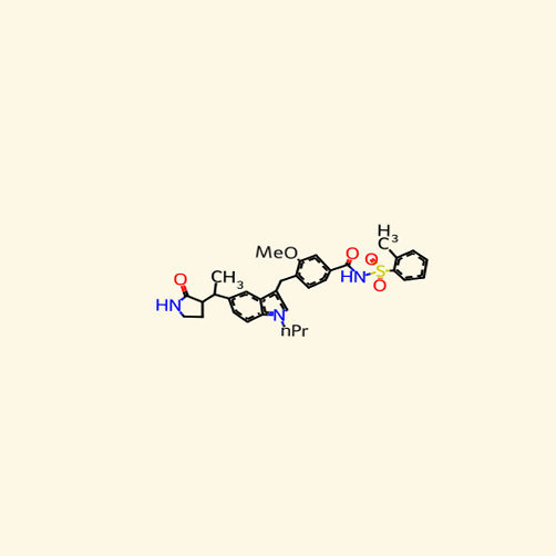 CCCn1cc(Cc2ccc(C(=O)NS(=O)(=O)c3ccccc3C)cc2OC)c2cc(C(C)C3CCNC3=O)ccc21